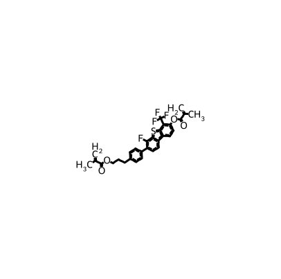 C=C(C)C(=O)OCCCc1ccc(-c2ccc3c(sc4c(C(F)(F)F)c(OC(=O)C(=C)C)ccc43)c2F)cc1